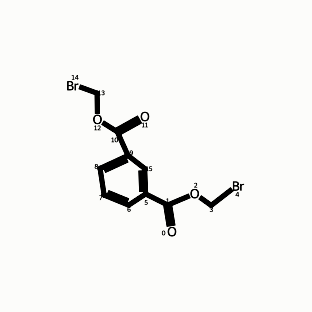 O=C(OCBr)c1cccc(C(=O)OCBr)c1